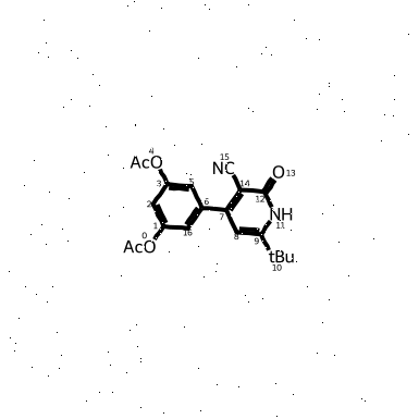 CC(=O)Oc1cc(OC(C)=O)cc(-c2cc(C(C)(C)C)[nH]c(=O)c2C#N)c1